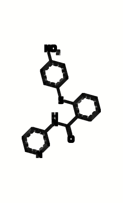 O=C(Nc1cccnc1)c1ccccc1Sc1ccc([N+](=O)[O-])cc1